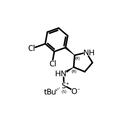 CC(C)(C)[S@@+]([O-])N[C@@H]1CCN[C@@H]1c1cccc(Cl)c1Cl